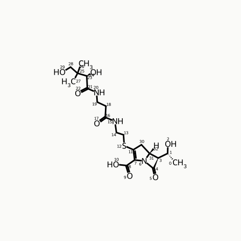 C[C@@H](O)[C@H]1C(=O)N2C(C(=O)O)=C(SCCNC(=O)CCNC(=O)[C@H](O)C(C)(C)CO)C[C@H]12